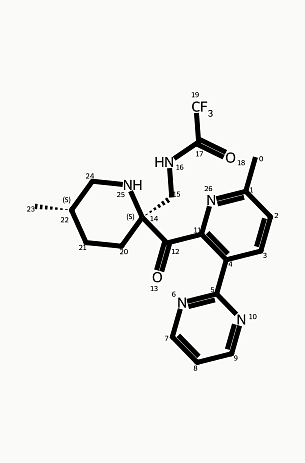 Cc1ccc(-c2ncccn2)c(C(=O)[C@@]2(CNC(=O)C(F)(F)F)CC[C@H](C)CN2)n1